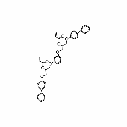 C=CC(=O)OC(COc1ccc(-c2ccccc2)cc1)COc1cccc(OCC(COc2ccc(-c3ccccc3)cc2)OC(=O)C=C)c1